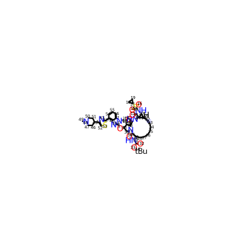 CC(C)n1c(O[C@@H]2C[C@H]3C(=O)N[C@]4(C(=O)NS(=O)(=O)C5CC5)C[C@H]4/C=C\CCCCC[C@H](NC(=O)OC(C)(C)C)C(=O)N3C2)nc2c(-c3nc(C4CCN(C)CC4)cs3)cccc21